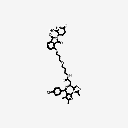 Cc1sc2c(c1C)C(c1ccc(Cl)cc1)=N[C@@H](CC(=O)NCCCOCCCOc1cccc3c1C(=O)N(C1CCC(=O)NC1O)C3=O)c1nnc(C)n1-2